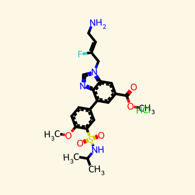 COC(=O)c1cc(-c2ccc(OC)c(S(=O)(=O)NC(C)C)c2)c2ncn(C/C(F)=C/CN)c2c1.Cl